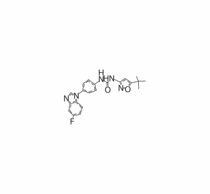 CC(C)(C)c1cc(NC(=O)Nc2ccc(-n3cnc4cc(F)ccc43)cc2)no1